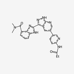 CCC(=O)Nc1ccc(-c2cnc3[nH]nc(-c4nc5c(C(=O)N(C)C)cccc5[nH]4)c3c2)cn1